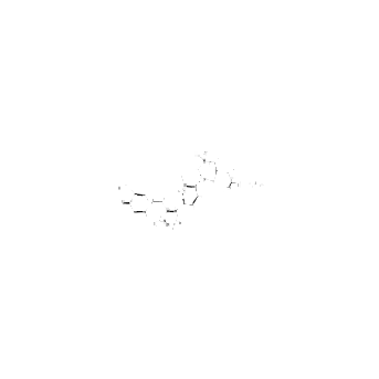 CCCc1cn(Cc2c(-c3ccc(N4C[C@H](CC(=O)OC)CC(F)(F)C4)c(C)n3)nnn2C)ccc1=O